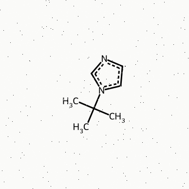 CC(C)(C)n1c[c]nc1